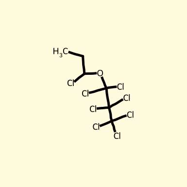 CCC(Cl)OC(Cl)(Cl)C(Cl)(Cl)C(Cl)(Cl)Cl